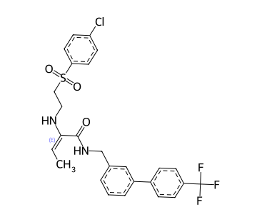 C/C=C(/NCCS(=O)(=O)c1ccc(Cl)cc1)C(=O)NCc1cccc(-c2ccc(C(F)(F)F)cc2)c1